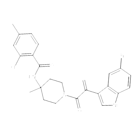 Cc1ccc(C(=O)NC2(C)CCN(C(=O)C(=O)c3c[nH]c4ccc(Br)cc34)CC2)c(Cl)c1